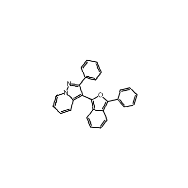 c1ccc(-c2nn3ccccc3c2-c2oc(-c3ccccc3)c3ccccc23)cc1